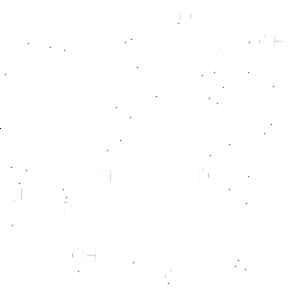 C1CCOC1.O=C(O)C1CCOC1.OP(Cl)Cl